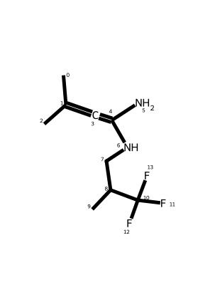 CC(C)=C=C(N)NCC(C)C(F)(F)F